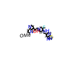 COc1ccc2nccc(C(O)CN3CCC(NCc4cnc5snnc5c4)C(F)C3)c2n1